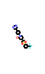 CC(C)([C@@H]1CCN(c2ccc(-c3cncnc3)cc2)C(=O)C1)S(=O)(=O)c1cccc(C(F)(F)F)c1